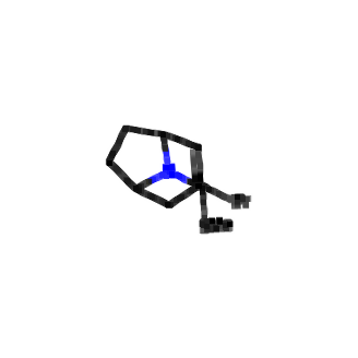 CSCN1C2C=C(C(C)C)CC1CC2